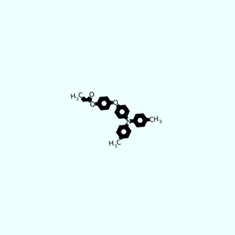 C=CC(=O)Oc1ccc(Oc2ccc(N(c3ccc(C)cc3)c3ccc(C)cc3)cc2)cc1